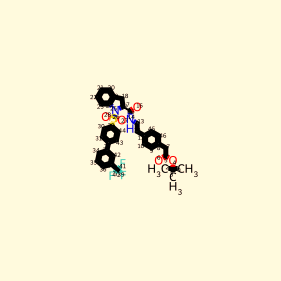 CC(C)(C)OC(=O)Cc1ccc(CCNC(=O)[C@@H]2Cc3ccccc3N2S(=O)(=O)c2ccc(-c3cccc(C(F)(F)F)c3)cc2)cc1